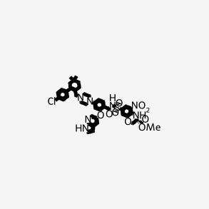 COC(=O)[C@H]1COc2cc(S(=O)(=O)NC(=O)c3ccc(N4CCN(CC5=C(c6ccc(Cl)cc6)CC(C)(C)CC5)CC4)cc3Oc3cnc4[nH]ccc4c3)cc([N+](=O)[O-])c2N1